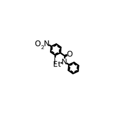 CCN(C(=O)c1ccc([N+](=O)[O-])cc1I)c1ccccc1